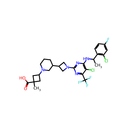 CC(Nc1nc(N2CC(C3CCCN(C4CC(C)(C(=O)O)C4)C3)C2)nc(C(F)(F)F)c1Cl)c1ccc(F)cc1Cl